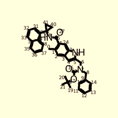 Cc1cc2cc(CN(Cc3ccccc3)C(=O)OC(C)(C)C)[nH]c2cc1C(=O)NC1(c2cccc3ccccc23)CC1